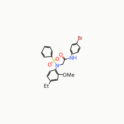 CCc1ccc(N(CC(=O)Nc2ccc(Br)cc2)S(=O)(=O)c2ccccc2)c(OC)c1